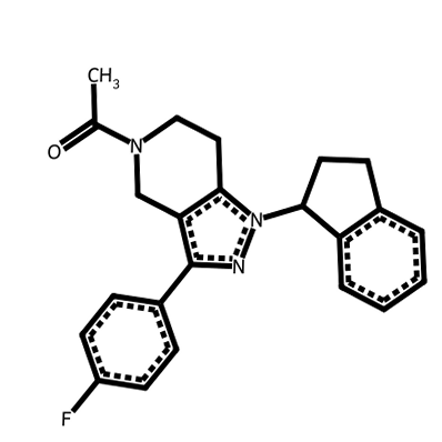 CC(=O)N1CCc2c(c(-c3ccc(F)cc3)nn2C2CCc3ccccc32)C1